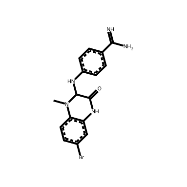 CN1c2ccc(Br)cc2NC(=O)C1Nc1ccc(C(=N)N)cc1